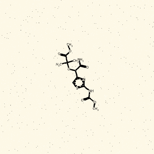 COC(=O)Nc1nc(C(OC(C)(C)C(=O)OC)C(N)=O)cs1